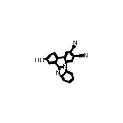 N#Cc1cc2c3ccc(O)cc3c3nc4ccccc4n3c2cc1C#N